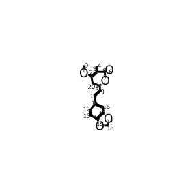 COC1=C(C)C(=O)OC(C=Cc2ccc3c(c2)OCO3)C1